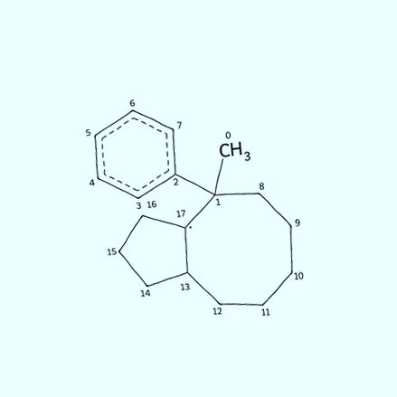 CC1(c2ccccc2)CCCCCC2CCC[C]21